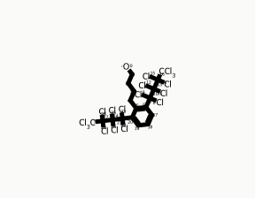 [O]CCCCc1c(C(Cl)(Cl)C(Cl)(Cl)C(Cl)(Cl)C(Cl)(Cl)Cl)cccc1C(Cl)(Cl)C(Cl)(Cl)C(Cl)(Cl)C(Cl)(Cl)Cl